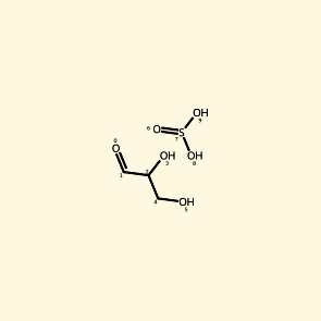 O=CC(O)CO.O=S(O)O